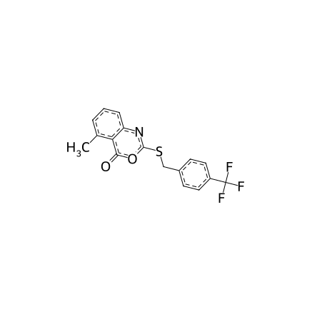 Cc1cccc2nc(SCc3ccc(C(F)(F)F)cc3)oc(=O)c12